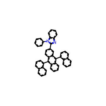 c1ccc(-n2c(-c3ccc4c(-c5cccc6ccccc56)c5ccccc5c(-c5cccc6ccccc56)c4c3)nc3ccccc32)cc1